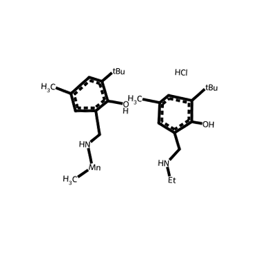 CCNCc1cc(C)cc(C(C)(C)C)c1O.Cl.[CH3][Mn][NH]Cc1cc(C)cc(C(C)(C)C)c1O